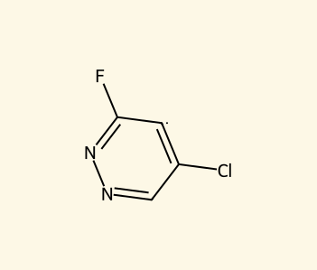 Fc1[c]c(Cl)cnn1